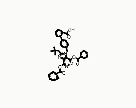 CC(C)(C)Cc1nc2c(OC(=O)c3ccccc3)nnc(OC(=O)c3ccccc3)c2n1Cc1ccc(-c2ccccc2C(=O)O)cc1